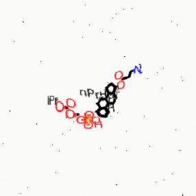 CCC[C@@H]1Cc2cc(OP(=O)(O)OCOC(=O)OC(C)C)ccc2[C@H]2CC[C@]3(C)[C@@H](OC(=O)CCN(C)C)CC[C@H]3[C@H]12